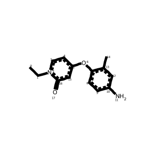 CCn1ccc(Oc2ccc(N)cc2C)cc1=O